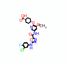 COc1cc(NC(=O)c2nnc(Nc3ccc(F)c(Cl)c3)o2)cnc1O[C@H]1CC[C@H](C(=O)O)CC1